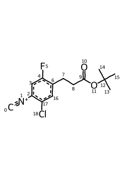 [C-]#[N+]c1cc(F)c(CCC(=O)OC(C)(C)C)cc1Cl